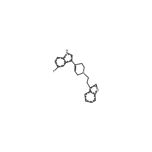 Fc1ccc2[nH]cc(C3=CCN(CCc4coc5ccccc45)CC3)c2c1